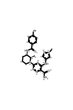 CC(C)c1ccc(C(=O)N[C@@H]2CCCN(c3nnc(C(N)=O)c(Nc4cnn(C)c4)n3)[C@@H]2C)cc1